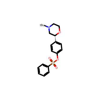 CC(C)(C)N1CCO[C@H](c2ccc(OS(=O)(=O)c3ccccc3)cc2)C1